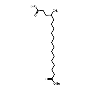 CC(C)COC(=O)CCCCCCCCCCCCCC(C)CCC(=O)OCC(C)C